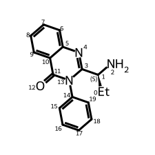 CC[C@H](N)c1nc2ccccc2c(=O)n1-c1ccccc1